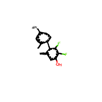 CCCc1ccc(-c2c(C)cc(O)c(F)c2F)c(C)c1